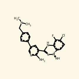 CN(C)Cc1ccc(-c2cnc(N)c(/C(=N/N=N)Nc3c(F)ccc(Cl)c3F)c2)cc1